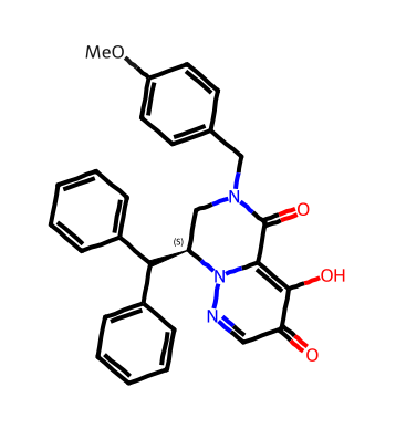 COc1ccc(CN2C[C@H](C(c3ccccc3)c3ccccc3)n3ncc(=O)c(O)c3C2=O)cc1